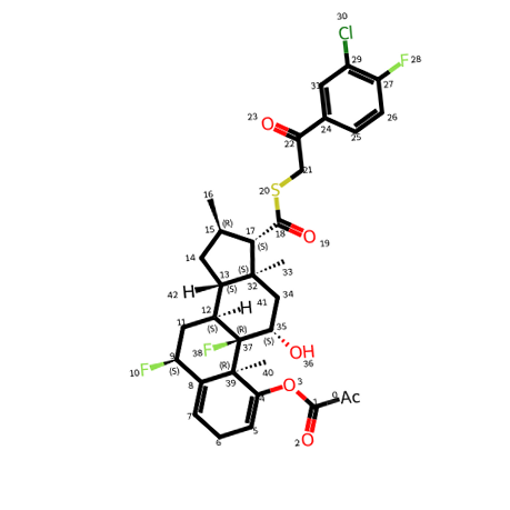 CC(=O)C(=O)OC1=CCC=C2[C@@H](F)C[C@H]3[C@@H]4C[C@@H](C)[C@H](C(=O)SCC(=O)c5ccc(F)c(Cl)c5)[C@@]4(C)C[C@H](O)[C@]3(F)[C@@]12C